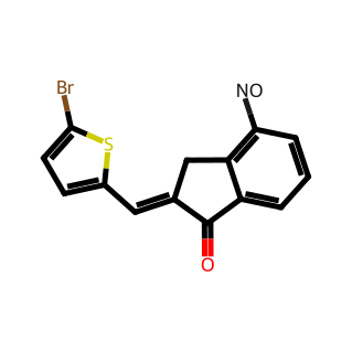 O=Nc1cccc2c1C/C(=C\c1ccc(Br)s1)C2=O